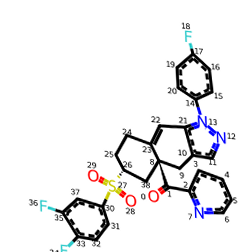 O=C(c1ccccn1)[C@]12Cc3cnn(-c4ccc(F)cc4)c3C=C1CC[C@@H](S(=O)(=O)c1ccc(F)c(F)c1)C2